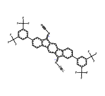 [C-]#[N+]/N=c1\c2cc(-c3cc(C(F)(F)F)cc(C(F)(F)F)c3)ccc2c2cc3/c(=N/C#N)c4cc(-c5cc(C(F)(F)F)cc(C(F)(F)F)c5)ccc4c3cc12